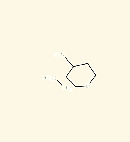 CC(=O)O.NC1CCOCC1